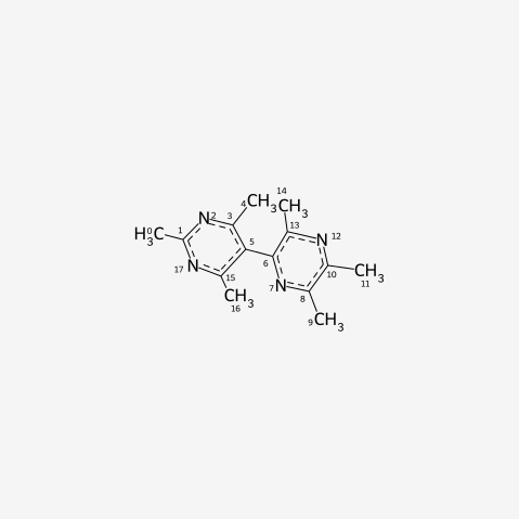 Cc1nc(C)c(-c2nc(C)c(C)nc2C)c(C)n1